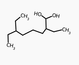 CCC(CC)CCCC(CC)C(O)O